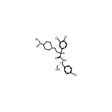 CC(=O)N(C)C1CCN(CCC(C)(C(=O)N[C@@H](CO)c2ccc(Cl)cc2)c2ccc(Cl)c(Cl)c2)CC1